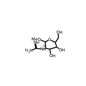 COC1OC(CO)C(O)C(O)[C@@H]1NC(=N)N